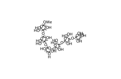 CCC1(O)O[C@](C)(COC[C@@]2(C)[C@H](C)C(C)(O)[C@@](C)(COC[C@@]3(C)[C@H](C)C(C)(O)[C@@H](OCC4(O)O[C@](C)(COC[C@@]5(C)[C@H](C)C(C)(O)[C@@](C)(COC[C@@]6(C)[C@H](C)C(C)(O)[C@@](C)(COC)OC6(O)CO)OC5(O)CO)C(C)(O)[C@@H](C)[C@]4(C)O)OC3(O)CO)OC2(O)CO)C(C)(O)[C@@H](C)[C@]1(C)O